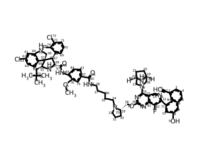 C#Cc1cccc2cc(O)cc(-c3ncc4c(N5C[C@H]6CC[C@@H](C5)N6)nc(OC[C@@H]5CCCN5CCCCCNC(=O)c5ccc(NC(=O)[C@@H]6N[C@@H](CC(C)(C)C)[C@@]7(CNc8cc(Cl)ccc87)[C@H]6c6cccc(Cl)c6F)c(OC)c5)nc4c3F)c12